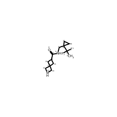 CC(F)(F)C1(CNC(=O)C2CC3(CNC3)C2)CC1